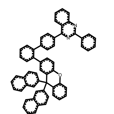 c1ccc(-c2nc(-c3ccc(-c4ccccc4-c4ccc5c(c4)C(c4ccc6ccccc6c4)(c4ccc6ccccc6c4)c4ccccc4O5)cc3)c3ccccc3n2)cc1